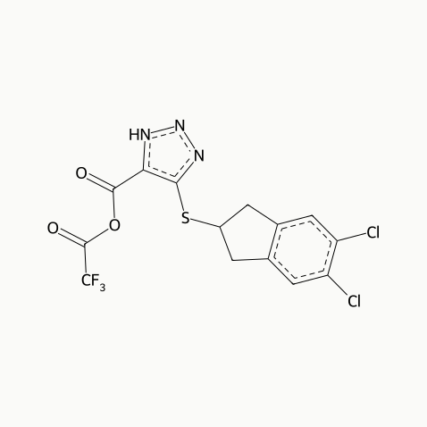 O=C(OC(=O)C(F)(F)F)c1[nH]nnc1SC1Cc2cc(Cl)c(Cl)cc2C1